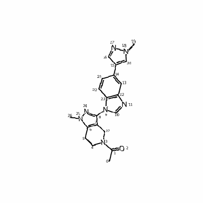 CC(=O)N1CCc2c(c(-n3cnc4cc(-c5cnn(C)c5)ccc43)nn2C)C1